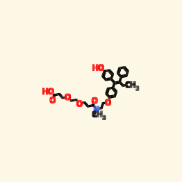 CCC(=C(c1ccc(O)cc1)c1ccc(OCCN(C)C(=O)CCOCCOCCC(=O)O)cc1)c1ccccc1